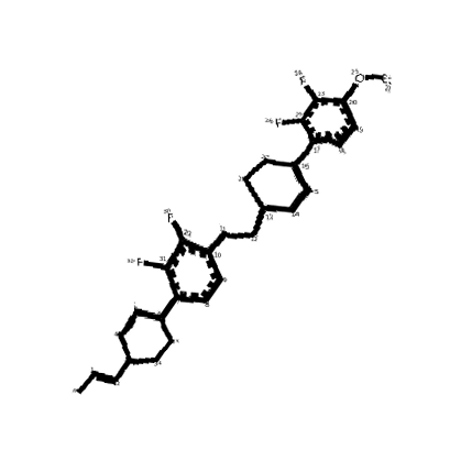 C/C=C/C1CCC(c2ccc(CCC3CCC(c4ccc(OCC)c(F)c4F)CC3)c(F)c2F)CC1